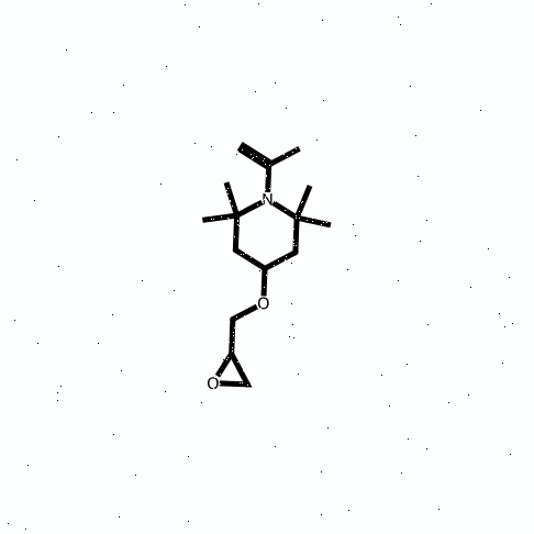 C=C(C)N1C(C)(C)CC(OCC2CO2)CC1(C)C